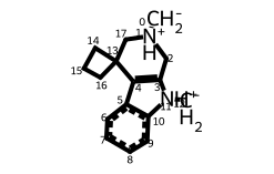 [CH2-][NH+]1CC2=C(c3ccccc3[NH+]2[CH2-])C2(CCC2)C1